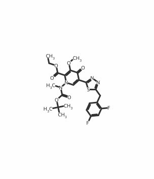 CCOC(=O)c1c(OC)c(=O)c(-c2nnc(Cc3ccc(F)cc3F)s2)cn1N(C)C(=O)OC(C)(C)C